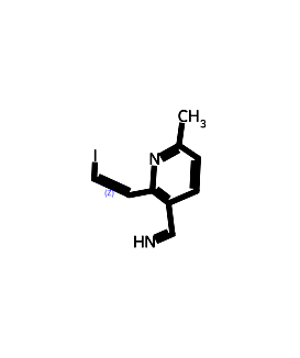 Cc1ccc(C=N)c(/C=C\I)n1